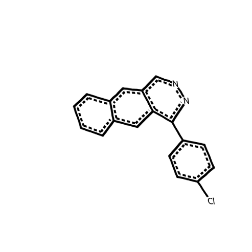 Clc1ccc(-c2nncc3cc4ccccc4cc23)cc1